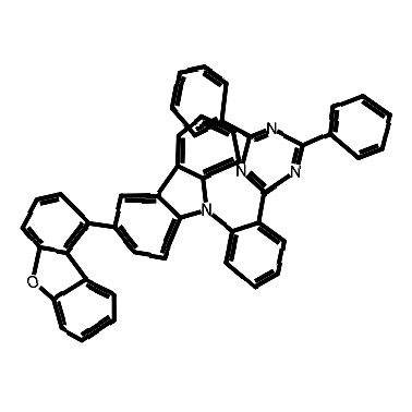 c1ccc(-c2nc(-c3ccccc3)nc(-c3ccccc3-n3c4ccccc4c4cc(-c5cccc6oc7ccccc7c56)ccc43)n2)cc1